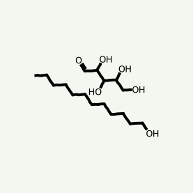 CCCCCCCCCCCCO.O=CC(O)C(O)C(O)CO